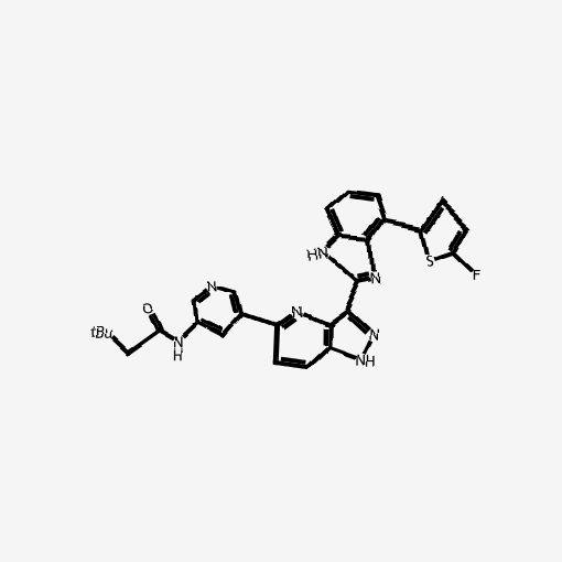 CC(C)(C)CC(=O)Nc1cncc(-c2ccc3[nH]nc(-c4nc5c(-c6ccc(F)s6)cccc5[nH]4)c3n2)c1